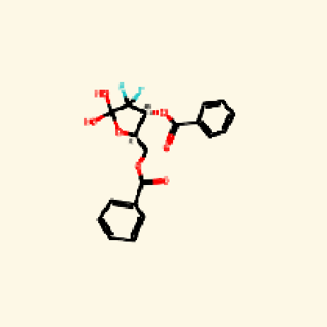 O=C(OC[C@H]1OC(O)(O)C(F)(F)[C@@H]1OC(=O)c1ccccc1)c1ccccc1